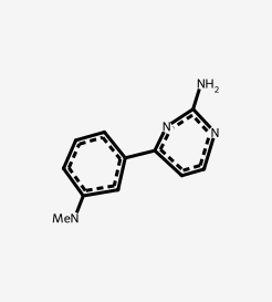 CNc1cccc(-c2ccnc(N)n2)c1